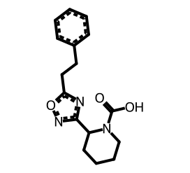 O=C(O)N1CCCCC1c1noc(CCc2ccccc2)n1